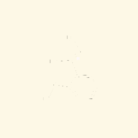 C/C=C(\C)c1ccccc1OC